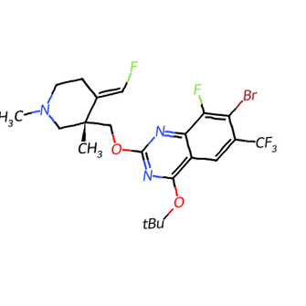 CN1CC/C(=C\F)[C@](C)(COc2nc(OC(C)(C)C)c3cc(C(F)(F)F)c(Br)c(F)c3n2)C1